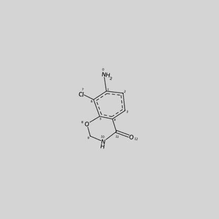 Nc1ccc2c(c1Cl)OCNC2=O